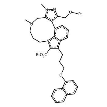 CCOC(=O)c1c(CCCOc2cccc3ccccc23)c2cccc3c2n1CCCN(C)Cc1c-3c(COC(C)C)nn1C